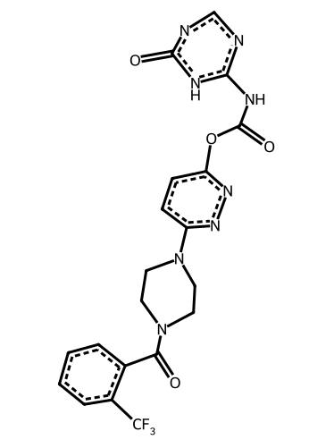 O=C(Nc1ncnc(=O)[nH]1)Oc1ccc(N2CCN(C(=O)c3ccccc3C(F)(F)F)CC2)nn1